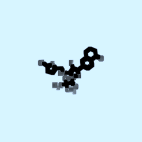 CC(C)(C)C(=O)n1nc(-c2ccc3c(c2)CCCC3=O)c(F)c1NCc1ccc(Cl)s1